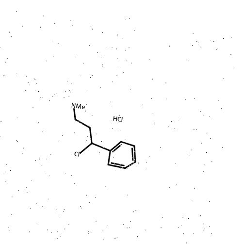 CNCCC(Cl)c1ccccc1.Cl